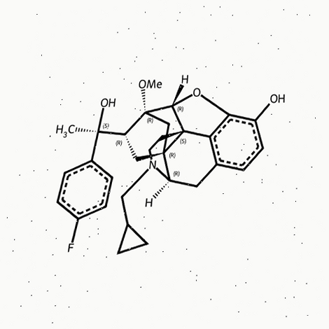 CO[C@]12C[C@@]3(C[C@@H]1[C@](C)(O)c1ccc(F)cc1)[C@H]1Cc4ccc(O)c5c4[C@@]3(CCN1CC1CC1)[C@H]2O5